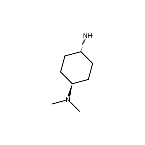 CN(C)[C@H]1CC[C@H]([NH])CC1